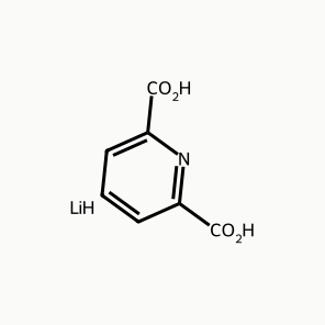 O=C(O)c1cccc(C(=O)O)n1.[LiH]